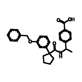 CC(NC(=O)C1(c2cccc(OCc3ccccc3)c2)CCCC1)c1ccc(C(=O)O)cc1